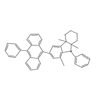 Cc1cc(-c2c3ccccc3c(-c3ccccc3)c3ccccc23)cc2c1N(c1ccccc1)C1(C)CCCCC21C